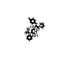 O=C(CC1C(=O)Nc2ccccc2N1[SH](=O)=O)N[C@H](Cc1ccc(I)cc1)C(=O)N1CCCC1